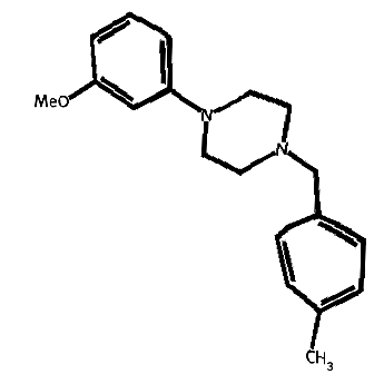 COc1cccc(N2CCN(Cc3ccc(C)cc3)CC2)c1